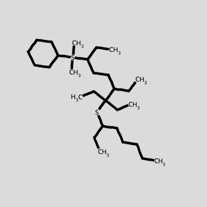 CCCCCC(CC)SC(CC)(CC)C(CC)CCC(CC)S(C)(C)C1CCCCC1